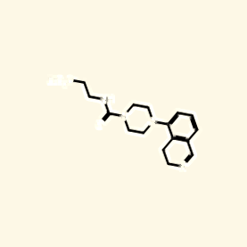 CCOC(=O)CCNC(=O)N1CCN(c2cccc3c2CCN=C3)CC1